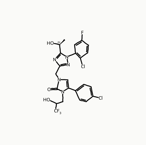 C[C@H](O)c1nc(Cn2cc(-c3ccc(Cl)cc3)n(CC(O)C(F)(F)F)c2=O)nn1-c1cc(F)ccc1Cl